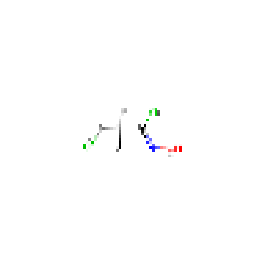 CC(C)(CCl)C(Cl)=NO